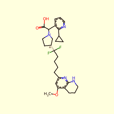 COc1cc(CCCCC(F)(F)[C@@H]2CCN(C(C(=O)O)c3cccnc3C3CC3)C2)nc2c1CCCN2